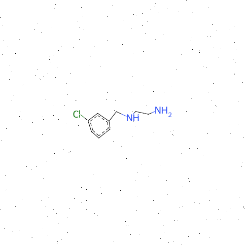 NCCNCc1cccc(Cl)c1